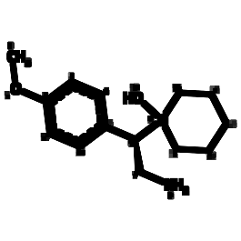 COc1ccc([C@H](CN)[Si]2(O)CCCCC2)cc1